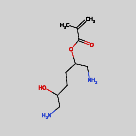 C=C(C)C(=O)OC(CN)CCC(O)CN